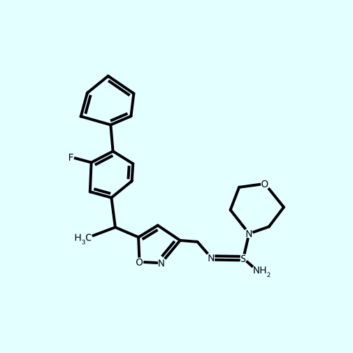 CC(c1ccc(-c2ccccc2)c(F)c1)c1cc(CN=S(N)N2CCOCC2)no1